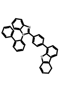 C1=Cc2sc3c(-c4ccc(-c5nc6ccccc6n5-c5ccccc5-c5ccccc5)cc4)cccc3c2CC1